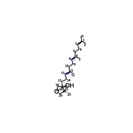 CC(C)=CCC/C(C)=C/CC/C(C)=C/CC[C@@]1(O)COC[C@H]1C